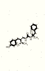 CN(C)[C@H](CNC(=O)NC(C)(C)Cc1ccccc1)Cc1ccc(O)cc1